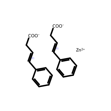 O=C([O-])C/C=C/c1ccccc1.O=C([O-])C/C=C/c1ccccc1.[Zn+2]